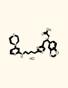 Cl.O=C(O)C[C@H](Cc1csc(CCCCNc2cc(N3CCSCC3)ccn2)n1)c1ccc2c(c1)OCO2